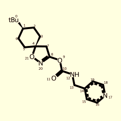 CC(C)(C)[C@H]1CC[C@@]2(CC1)CC(OC(=O)NCc1ccncc1)=NO2